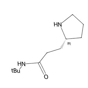 CC(C)(C)NC(=O)CC[C@H]1CCCN1